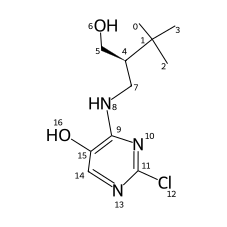 CC(C)(C)[C@H](CO)CNc1nc(Cl)ncc1O